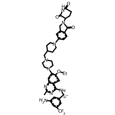 CCOc1cc2c(N[C@H](C)c3cc(N)cc(C(F)(F)F)c3)nc(C)nc2cc1N1CCN(CC2CCN(c3ccc4c(c3)CN(C3CCC(=O)NC3=O)C4=O)CC2)CC1